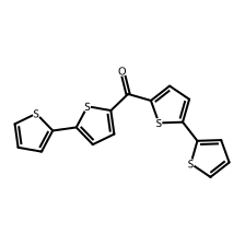 O=C(c1ccc(-c2cccs2)s1)c1ccc(-c2cccs2)s1